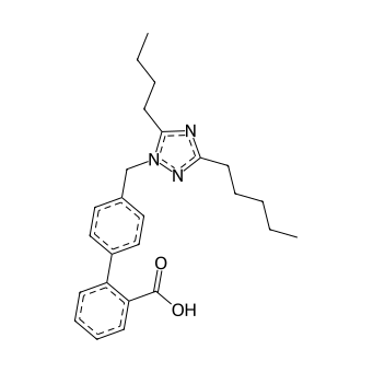 CCCCCc1nc(CCCC)n(Cc2ccc(-c3ccccc3C(=O)O)cc2)n1